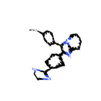 COc1ccc(-c2c(-c3ccc(C4=NCCN4)cc3)nc3ccccn23)cc1